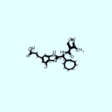 Cc1nocc1C(=O)NC(c1nc2c(F)cc(CCC(=O)O)cc2[nH]1)C1CCCCCCC1